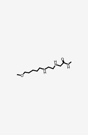 CNC(=O)CNCCNCCCCCOC